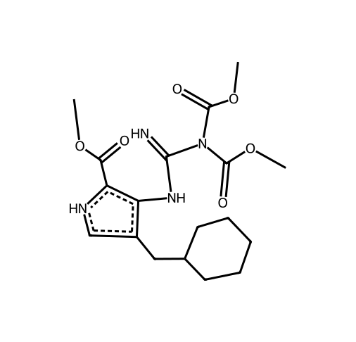 COC(=O)c1[nH]cc(CC2CCCCC2)c1NC(=N)N(C(=O)OC)C(=O)OC